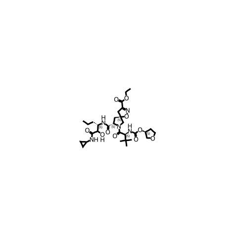 CCC[C@H](NC(=O)[C@@H]1C[C@]2(CC(C(=O)OCC)=NO2)CN1C(=O)[C@@H](NC(=O)O[C@H]1CCOC1)C(C)(C)C)C(O)C(=O)NC1CC1